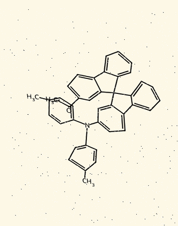 CC(=O)c1ccc2c(c1)C1(c3ccccc3-2)c2ccccc2-c2ccc(N(c3ccc(C)cc3)c3ccc(C)cc3)cc21